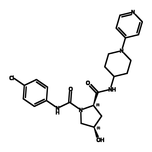 O=C(NC1CCN(c2ccncc2)CC1)[C@H]1C[C@@H](O)CN1C(=O)Nc1ccc(Cl)cc1